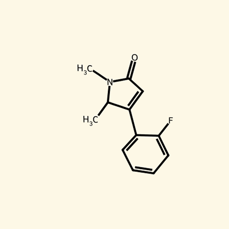 CC1C(c2ccccc2F)=CC(=O)N1C